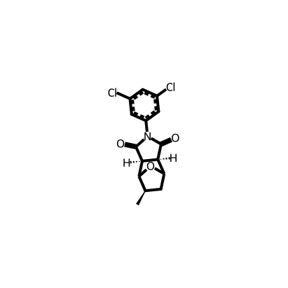 C[C@@H]1CC2OC1[C@H]1C(=O)N(c3cc(Cl)cc(Cl)c3)C(=O)[C@@H]21